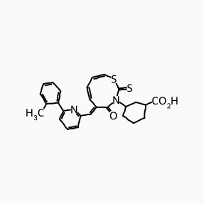 Cc1ccccc1-c1cccc(C=C2C=CC=CSC(=S)N(C3CCCC(C(=O)O)C3)C2=O)n1